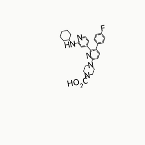 O=C(O)N1CCN(c2ccc(-c3ccc(F)cc3)c(-c3ccnc(NC4CCCCC4)c3)n2)CC1